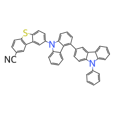 N#Cc1ccc2sc3ccc(-n4c5ccccc5c5c(-c6ccc7c(c6)c6ccccc6n7-c6ccccc6)cccc54)cc3c2c1